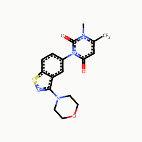 Cn1c(C(F)(F)F)cc(=O)n(-c2ccc3snc(N4CCOCC4)c3c2)c1=O